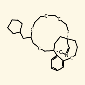 C1=N/C[C@@]23CCCC(CC4CCCCC4)CCCCCCCC[C@@](C/1)(CCCCc1ccccc12)CC3